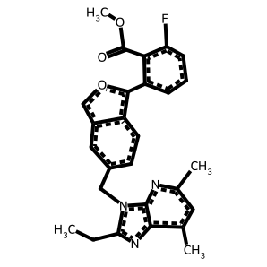 CCc1nc2c(C)cc(C)nc2n1Cc1ccc2c(-c3cccc(F)c3C(=O)OC)occ2c1